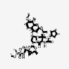 C=CC1C[C@]1(NC(=O)[C@@H]1C[C@@H](Oc2cc(OCC)nc3c(Br)c(OC)ccc23)CN1C(=O)[C@@H](NC(=O)OC1CCCC1)C(C)(C)C)C(=O)NS(=O)(=O)N(C)OC